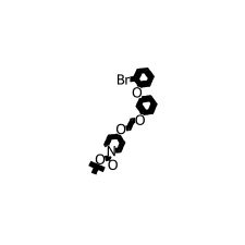 CC(C)(C)OC(=O)N1CCC(OCCOc2cccc(Oc3ccccc3Br)c2)CC1